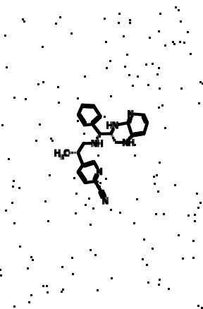 C[C@H](CN[C@H](c1ccccc1)[C@H]1CNc2cccnc2N1)c1ccc(C#N)nc1